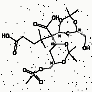 CC1(C)O[C@H](CO)C[C@H](C(C(=O)O)([C@H]2C[C@@H](COS(C)(=O)=O)OC(C)(C)O2)C(C)(C)CCC(=O)O)O1